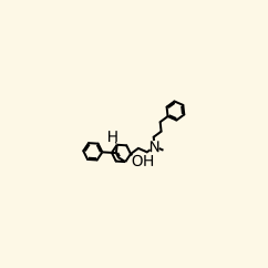 CN(CCCc1ccccc1)CCC1(O)C[C@@H]2CCC1C=C2c1ccccc1